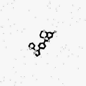 Brc1cc2c3c(c1)nc(-c1ccc(-c4ccnn4C4CCCCO4)cc1)n3CCCO2